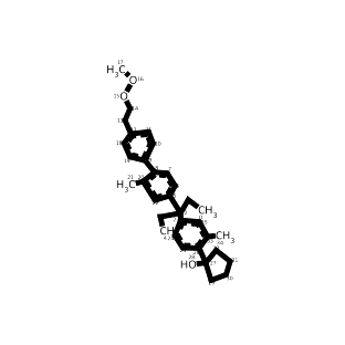 CCC(CC)(c1ccc(-c2ccc(CCOOC)cc2)c(C)c1)c1ccc(C2(O)CCCC2)c(C)c1